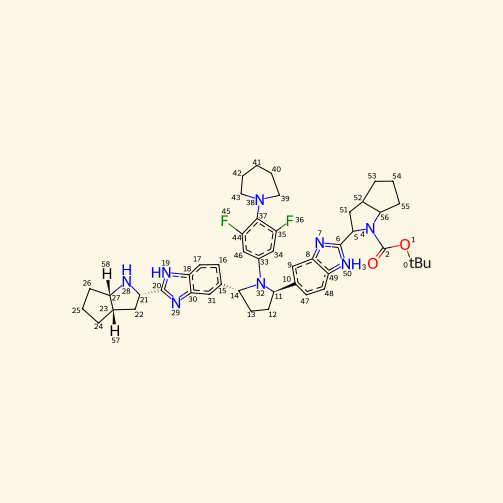 CC(C)(C)OC(=O)N1C(c2nc3cc([C@H]4CC[C@H](c5ccc6[nH]c([C@@H]7C[C@@H]8CCC[C@@H]8N7)nc6c5)N4c4cc(F)c(N5CCCCC5)c(F)c4)ccc3[nH]2)CC2CCCC21